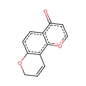 O=c1ccoc2c3c(ccc12)OCC=C3